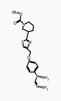 CC(C)(C)OC(=O)N1CCCC(c2nc(COc3ccc(N(N)/C=N\N)cc3)cs2)C1